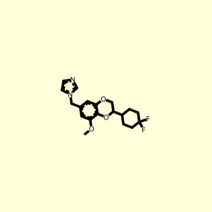 COc1cc(Cn2ccnc2)cc2c1OC(C1CCC(F)(F)CC1)CO2